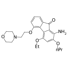 CCCOc1cc(OCC)c2c(c1N)C(=O)c1cccc(OCCN3CCOCC3)c1-2